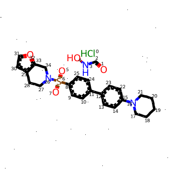 Cl.O=CNO.O=S(=O)(c1ccc(-c2ccc(N3CCCCC3)cc2)cc1)N1CCc2ccoc2C1